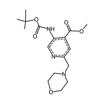 COC(=O)c1cc(CN2CCOCC2)ncc1NC(=O)OC(C)(C)C